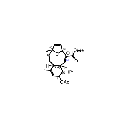 COC(=O)/C1=C/[C@@H]2[C@H](C(C)C)[C@@H](OC(C)=O)C=C(C)[C@H]2C[C][C@]2(C)C=C[C@]1(O)O2